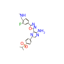 CNCc1ccc(-c2nnc(-c3nc(-c4ccc(S(=O)(=O)C(C)C)cc4)cnc3N)o2)cc1F